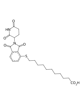 O=C(O)CCCCCCCCCCSc1cccc2c1C(=O)N(C1CCC(=O)NC1=O)C2=O